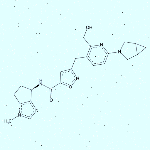 Cn1cnc2c1CC[C@H]2NC(=O)c1cc(Cc2ccc(N3CC4CC4C3)nc2CO)no1